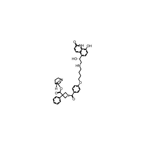 O=C(c1ccc(OCCCCNC[C@H](O)c2ccc(O)c3[nH]c(=O)ccc23)cc1)N1CC(C(=O)O[C@H]2CN3CCC2CC3)(c2ccccc2)C1